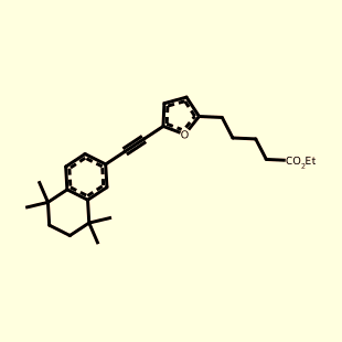 CCOC(=O)CCCCc1ccc(C#Cc2ccc3c(c2)C(C)(C)CCC3(C)C)o1